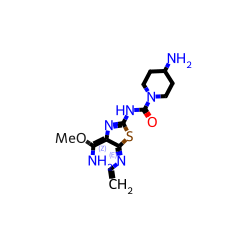 C=C/N=C1/SC(NC(=O)N2CCC(N)CC2)=N/C1=C(/N)OC